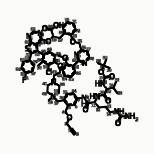 C#CCOCc1cc(NC(=O)[C@H](CCCNC(N)=O)NC(=O)[C@@H](NC(=O)OC(C)(C)C)C(C)C)ccc1C[N+]1(C)CCN(CCOc2ccc(-c3c(-c4ccc(F)cc4)sc4ncnc(O[C@H](Cc5ccccc5OCc5ccnc(-c6ccccc6OC)n5)C(=O)O)c34)c(C)c2Cl)CC1